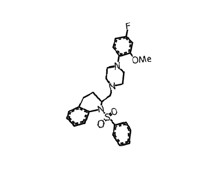 COc1cc(F)ccc1N1CCN(CC2CCc3ccccc3N2S(=O)(=O)c2ccccc2)CC1